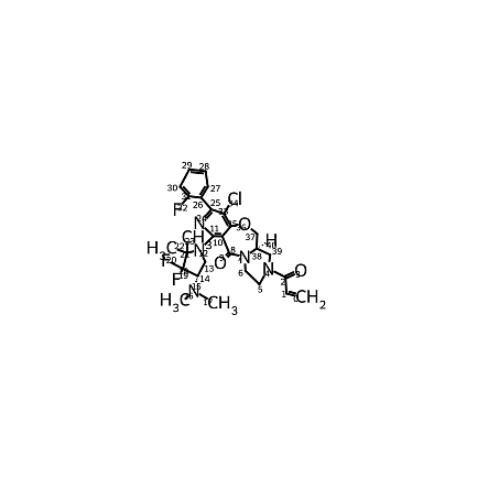 C=CC(=O)N1CCN2C(=O)c3c(N4C[C@H](N(C)C)C(F)(F)C4(C)C)nc(-c4ccccc4F)c(Cl)c3OC[C@H]2C1